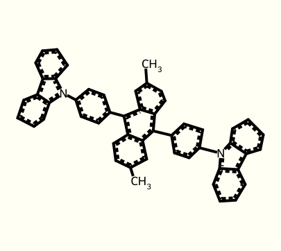 Cc1ccc2c(-c3ccc(-n4c5ccccc5c5ccccc54)cc3)c3cc(C)ccc3c(-c3ccc(-n4c5ccccc5c5ccccc54)cc3)c2c1